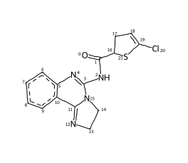 O=C(NC1=Nc2ccccc2C2=NCCN12)C1CC=C(Cl)S1